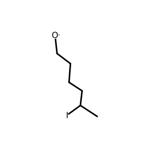 CC(I)CCCC[O]